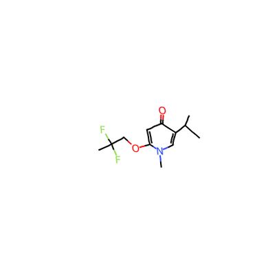 CC(C)c1cn(C)c(OCC(C)(F)F)cc1=O